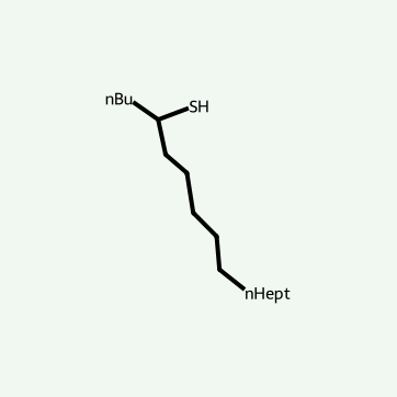 CCCCCCCCCCCCC(S)CCCC